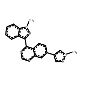 Cn1cc(-c2ccc3c(-c4nn(C)c5ccccc45)ncnc3c2)cn1